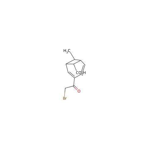 CC1C2C=CC(C(=O)CBr)=CC1C2C(=O)O